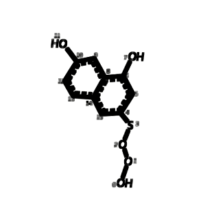 OOOSc1cc(O)c2cc(O)ccc2c1